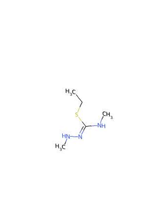 CCS/C(=N\NC)NC